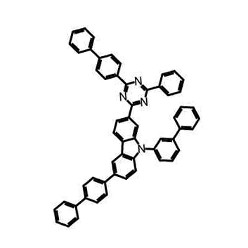 c1ccc(-c2ccc(-c3ccc4c(c3)c3ccc(-c5nc(-c6ccccc6)nc(-c6ccc(-c7ccccc7)cc6)n5)cc3n4-c3cccc(-c4ccccc4)c3)cc2)cc1